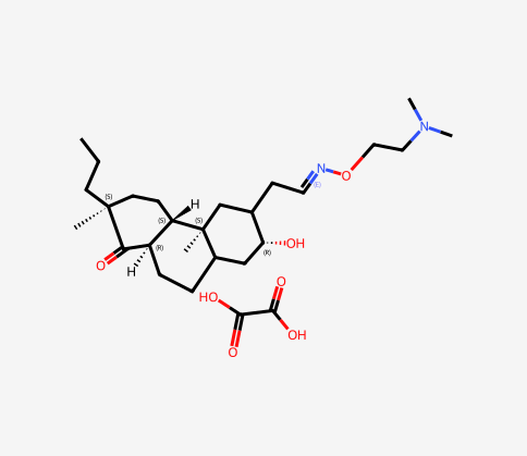 CCC[C@@]1(C)CC[C@H]2[C@@H](CCC3C[C@@H](O)C(C/C=N/OCCN(C)C)C[C@@]32C)C1=O.O=C(O)C(=O)O